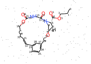 CCCOC(=O)[C@@H]1C[C@@H]2CN1C(=O)CNC(=O)OCCC/C=C/c1cccc(c1)CO2